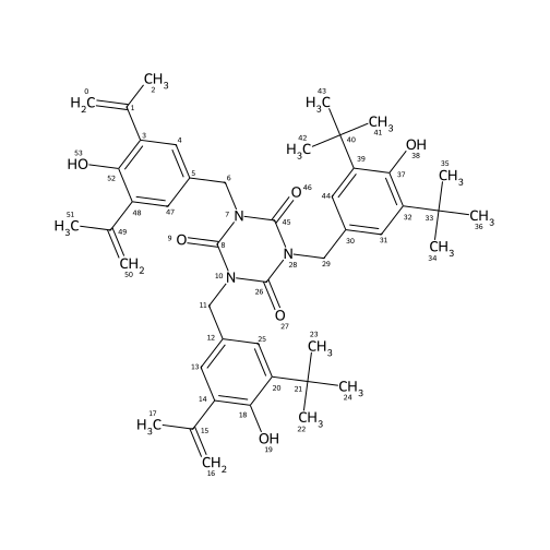 C=C(C)c1cc(Cn2c(=O)n(Cc3cc(C(=C)C)c(O)c(C(C)(C)C)c3)c(=O)n(Cc3cc(C(C)(C)C)c(O)c(C(C)(C)C)c3)c2=O)cc(C(=C)C)c1O